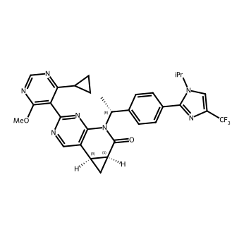 COc1ncnc(C2CC2)c1-c1ncc2c(n1)N([C@H](C)c1ccc(-c3nc(C(F)(F)F)cn3C(C)C)cc1)C(=O)[C@H]1C[C@@H]21